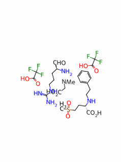 CNCC(=O)O.CS(=O)(=O)CC[C@H](NCCc1ccccc1)C(=O)O.N=C(N)NCCC[C@H](N)C=O.O=C(O)C(F)(F)F.O=C(O)C(F)(F)F